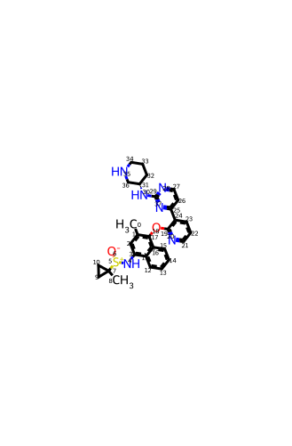 Cc1cc(N[S+]([O-])C2(C)CC2)c2ccccc2c1Oc1ncccc1-c1ccnc(N[C@H]2CCCNC2)n1